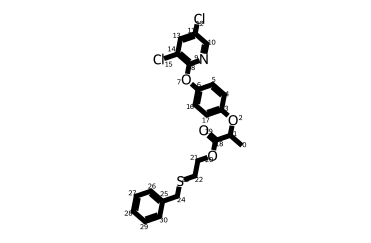 CC(Oc1ccc(Oc2ncc(Cl)cc2Cl)cc1)C(=O)OCCSCc1ccccc1